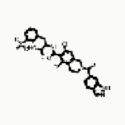 CS(=O)(=O)c1cccc(CC(NC(=O)c2c(Cl)cc3c(c2Cl)CCN(C(=O)c2ccc4cn[nH]c4c2)C3)C(=O)O)c1